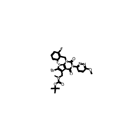 COc1ccc(-n2c(=O)c3c(CN(C)C(=O)OC(C)(C)C)c(Br)sc3n(Cc3c(F)cccc3F)c2=O)nn1